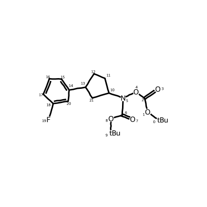 CC(C)(C)OC(=O)ON(C(=O)OC(C)(C)C)C1CCC(c2cccc(F)c2)C1